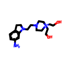 Nc1ccc2c(c1)N(CCN1CC[N+](CCO)(CCO)CC1)CC2